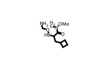 CON(C)C(=O)C(BOCN)CC1CCC1